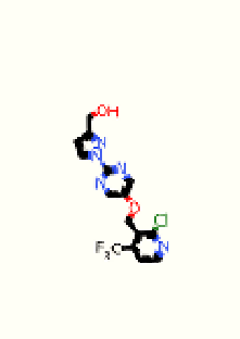 OCc1ccn(-c2ncc(OCc3c(C(F)(F)F)ccnc3Cl)cn2)n1